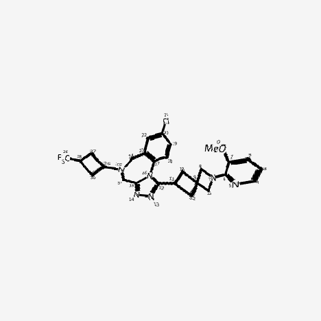 COc1cccnc1N1CC2(CC(c3nnc4n3-c3ccc(Cl)cc3CN(C3CC(C(F)(F)F)C3)C4)C2)C1